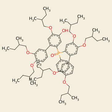 CCC(C)COc1cc(-c2ccc(OCC(C)CC)c(OCC(C)CC)c2)c(P(=O)(c2ccccc2)c2cc(OCC(C)CC)c(OCC(C)CC)cc2-c2ccc(OCC(C)CC)c(OCC(C)CC)c2)cc1O